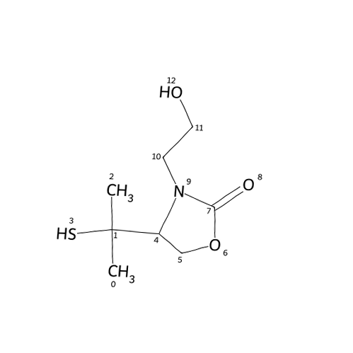 CC(C)(S)C1COC(=O)N1CCO